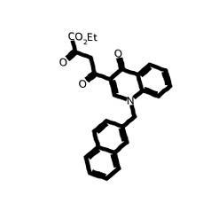 CCOC(=O)C(=O)CC(=O)c1cn(Cc2ccc3ccccc3c2)c2ccccc2c1=O